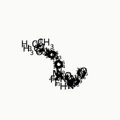 CC(C)(C)OC(=O)N1CC2(CCN(C[C@H]3CC[C@H](n4cc(NC(=O)c5cnn6ccc(N7CCOCC7)nc56)c(C(F)F)n4)CC3)CC2)C1